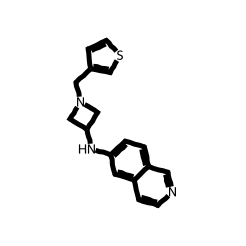 c1cc2cc(NC3CN(Cc4ccsc4)C3)ccc2cn1